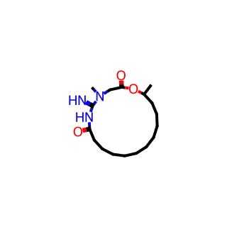 CC1CCCCCCCCCCC(=O)NC(=N)N(C)CC(=O)O1